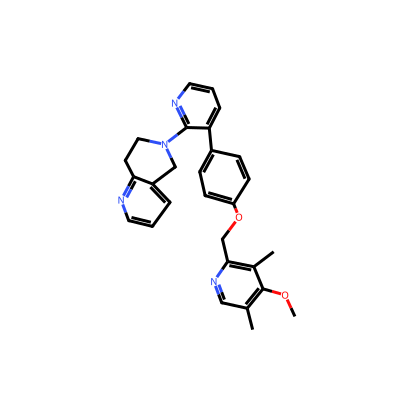 COc1c(C)cnc(COc2ccc(-c3cccnc3N3CCc4ncccc4C3)cc2)c1C